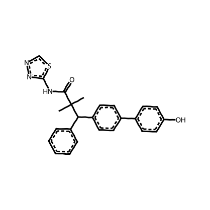 CC(C)(C(=O)Nc1nncs1)C(c1ccccc1)c1ccc(-c2ccc(O)cc2)cc1